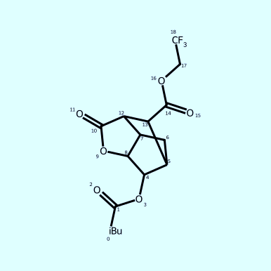 CCC(C)C(=O)OC1C2CC3C1OC(=O)C3C2C(=O)OCC(F)(F)F